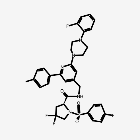 Cc1ccc(-c2cc(CNC(=O)[C@@H]3CC(F)(F)CN3S(=O)(=O)c3ccc(F)cc3)cc(N3CCN(c4ccccc4F)CC3)n2)cc1